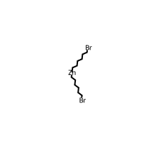 BrCCCCC[CH2][Zn][CH2]CCCCCBr